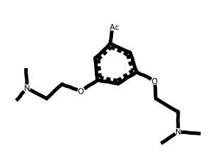 CC(=O)c1cc(OCCN(C)C)cc(OCCN(C)C)c1